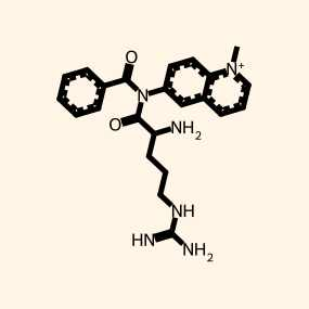 C[n+]1cccc2cc(N(C(=O)c3ccccc3)C(=O)C(N)CCCNC(=N)N)ccc21